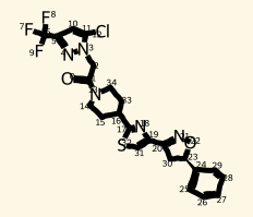 O=C(Cn1nc(C(F)(F)F)cc1Cl)N1CCC(c2nc(C3=NO[C@@H](c4ccccc4)C3)cs2)CC1